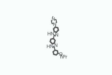 CCCOc1cccc(-c2nc3cc(-c4nc5ccc(N6CCN(C)CC6)cc5[nH]4)ccc3[nH]2)c1